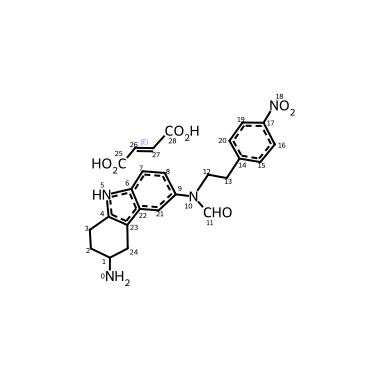 NC1CCc2[nH]c3ccc(N(C=O)CCc4ccc([N+](=O)[O-])cc4)cc3c2C1.O=C(O)/C=C/C(=O)O